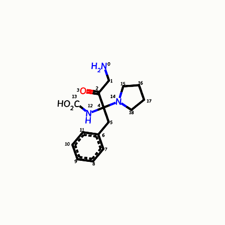 NCC(=O)C(Cc1ccccc1)(NC(=O)O)N1CCCC1